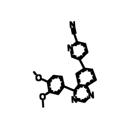 COc1ccc(-c2ncnc3ccc(-c4ccc(C#N)nc4)cc23)cc1OC